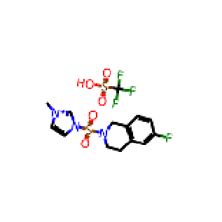 C[n+]1ccn(S(=O)(=O)N2CCc3cc(F)ccc3C2)c1.O=S(=O)(O)C(F)(F)F